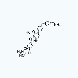 C[C@](N)(CO)C(=O)N1CCN(C(=O)Nc2ccn(-c3ccc(CN4CC5C(CN)C5C4)cc3)c(=O)n2)CC1.Cl